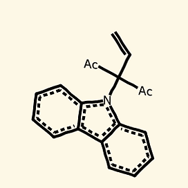 C=CC(C(C)=O)(C(C)=O)n1c2ccccc2c2ccccc21